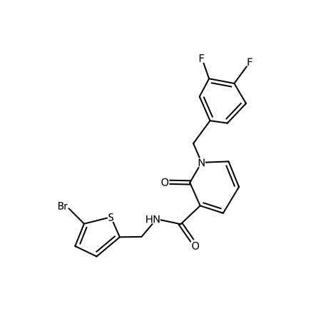 O=C(NCc1ccc(Br)s1)c1cccn(Cc2ccc(F)c(F)c2)c1=O